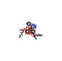 CCCCCC(CC)Oc1cccc(C(Oc2cnnnc2-c2ccccc2)c2cccc(OC(CC)CCCCC)c2O)c1O